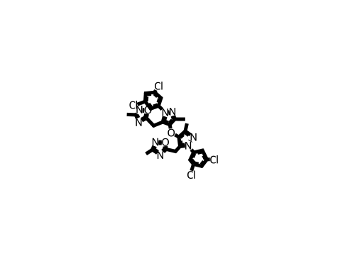 Cc1noc(Cc2c(Oc3c(C)nn(-c4cc(Cl)cc(Cl)c4)c3Cc3nc(C)no3)c(C)nn2-c2cc(Cl)cc(Cl)c2)n1